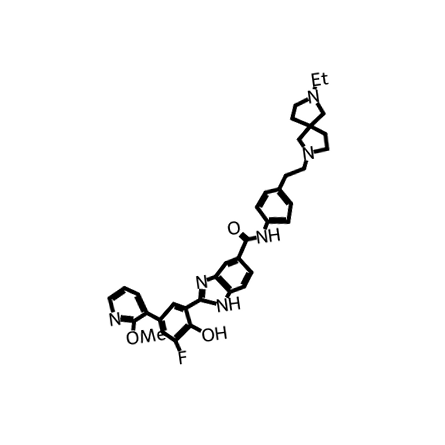 CCN1CCC2(CCN(CCc3ccc(NC(=O)c4ccc5[nH]c(-c6cc(-c7cccnc7OC)cc(F)c6O)nc5c4)cc3)C2)C1